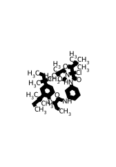 CCC(Oc1ccc(C(C)(C)CC)cc1C(C)(C)CC)C(=O)Nc1cccc(NC(=O)C(Cl)(C(=O)C(C)(C)C)N2COC(C)(C)C2)c1